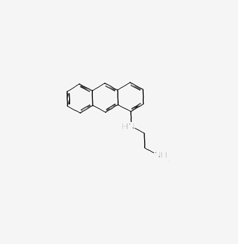 NCCNc1cccc2cc3ccccc3cc12